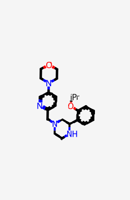 CC(C)Oc1ccccc1C1CN(Cc2ccc(N3CCOCC3)cn2)CCN1